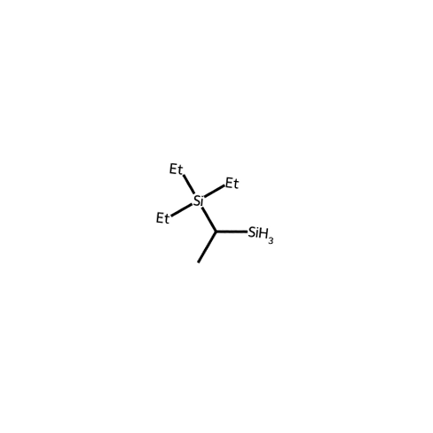 CC[Si](CC)(CC)C(C)[SiH3]